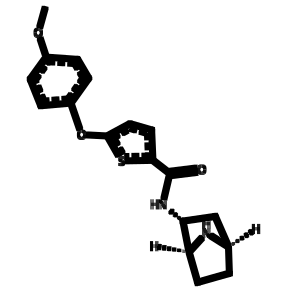 COc1ccc(Oc2ccc(C(=O)N[C@@H]3C[C@H]4CC[C@@H]3N4)s2)cc1